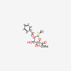 CCSC1OC(C(=O)OC)C(O)C(O)C1OCc1ccccc1